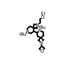 CCOCCN1CC2(CCN(C(C)(C)C)CC2C2CC3(CCN2C(C)(C)C)CN(C2COC2)C3)C1